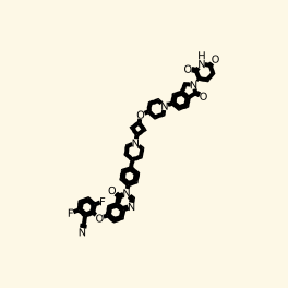 N#Cc1c(F)ccc(F)c1Oc1ccc2ncn(-c3ccc(C4CCN(C5CC(OC6CCN(c7ccc8c(c7)CN([C@@H]7CCC(=O)NC7=O)C8=O)CC6)C5)CC4)cc3)c(=O)c2c1